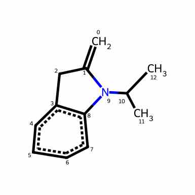 C=C1Cc2ccccc2N1C(C)C